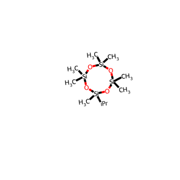 CC(C)[Si]1(C)O[Si](C)(C)O[Si](C)(C)O[Si](C)(C)O1